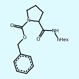 CCCCCCNC(=O)C1CCCN1C(=O)OCc1ccccc1